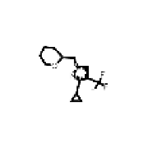 FC(F)(F)c1cn(CC2CCCCO2)nc1C1CC1